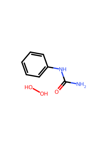 NC(=O)Nc1ccccc1.OO